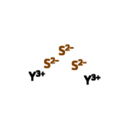 [S-2].[S-2].[S-2].[Y+3].[Y+3]